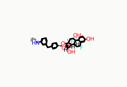 CC(C)Nc1cccc(Cc2ccc([C@@H]3O[C@@H]4C[C@H]5[C@@H]6C[C@H](F)C7=CC(O)C=C[C@]7(C)[C@@]6(F)[C@@H](O)C[C@]5(C)[C@]4(C(=O)CO)O3)cc2)c1